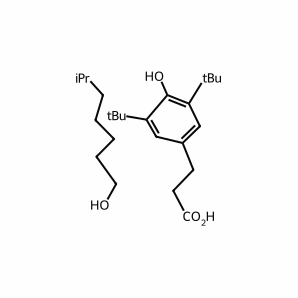 CC(C)(C)c1cc(CCC(=O)O)cc(C(C)(C)C)c1O.CC(C)CCCCCO